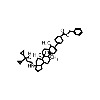 CC1C(C2=CCC(C(=O)OCc3ccccc3)CC2)=CCC2(C)C1CCC1(C)C2CCC2C3CCCC3(NCCC(O)(C3CC3)C3CC3)CC[C@]21C